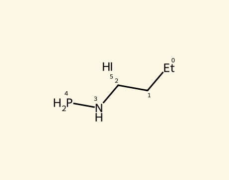 CCCCNP.I